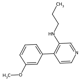 CCCNc1[c]nccc1-c1cccc(OC)c1